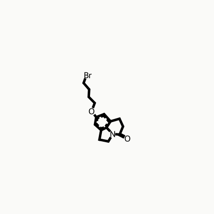 O=C1CCc2cc(OCCCCBr)cc3c2N1CC3